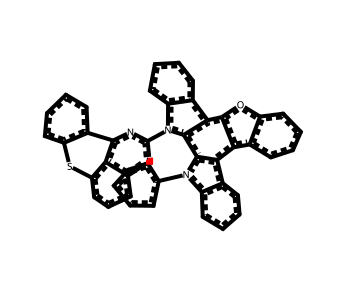 c1ccc(-n2c3ccccc3c3c4c5ccccc5oc4c4c5ccccc5n(-c5nc6c7c(cccc7n5)Sc5ccccc5-6)c4c32)cc1